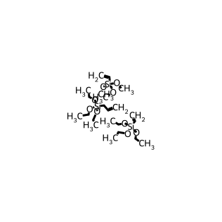 C=CC[Si](OCC)(OCC)OCC.C=C[Si](OC)(OC)OC.C=C[Si](OCC)(OCC)OCC